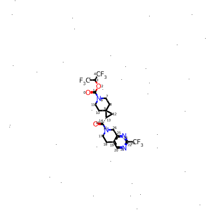 O=C(OC(C(F)(F)F)C(F)(F)F)N1CCC2(CC1)C[C@@H]2C(=O)N1CCc2cnc(C(F)(F)F)nc2C1